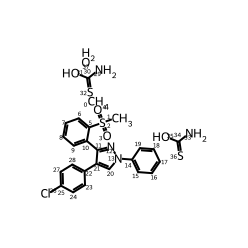 C.CS(=O)(=O)c1ccccc1-c1nn(-c2ccccc2)cc1-c1ccc(Cl)cc1.NC(O)=S.NC(O)=S.O